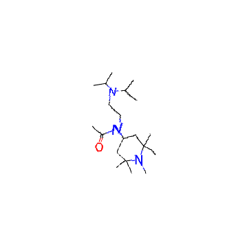 CC(=O)N(CCN(C(C)C)C(C)C)C1CC(C)(C)N(C)C(C)(C)C1